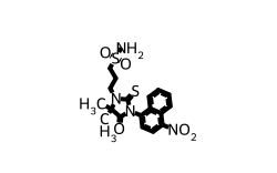 CC1(C)C(=O)N(c2ccc([N+](=O)[O-])c3ccccc23)C(=S)N1CCCS(N)(=O)=O